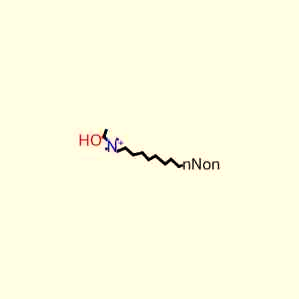 CCCCCCCCCCCCCCCCCC[N+](C)(C)C(C)O